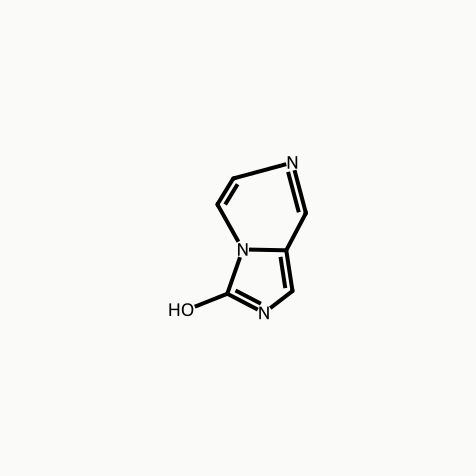 Oc1ncc2cnccn12